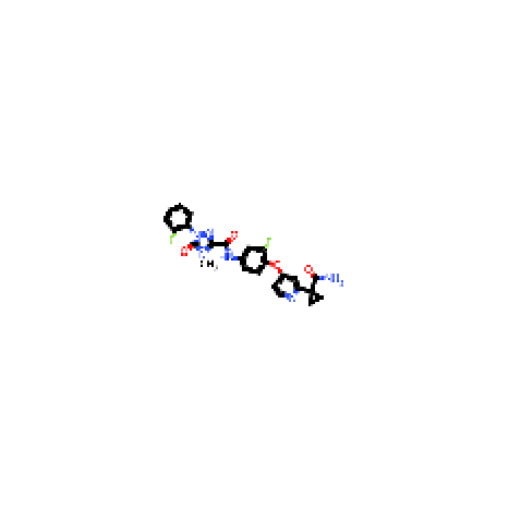 Cn1c(C(=O)Nc2ccc(Oc3ccnc(C4(C(N)=O)CC4)c3)c(F)c2)nn(-c2ccccc2F)c1=O